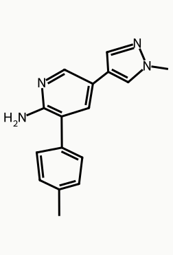 Cc1ccc(-c2cc(-c3cnn(C)c3)cnc2N)cc1